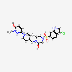 CCOC(=O)C1CN(S(=O)(=O)c2ccc3c(Cl)c[nH]c3c2)CC(=O)N1CC1CCN(c2ccc(=O)n(C)n2)CC1